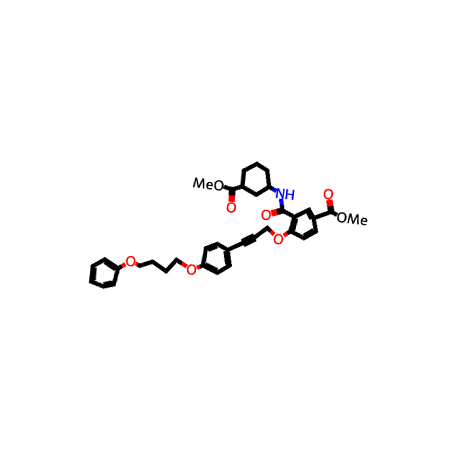 COC(=O)c1ccc(OCC#Cc2ccc(OCCCCOc3ccccc3)cc2)c(C(=O)NC2CCCC(C(=O)OC)C2)c1